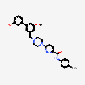 COc1ccc(NC(=O)c2ccc(N3CCN(Cc4cc(OC(F)(F)F)cc(-c5cccc(O)c5)c4)CC3)nn2)cc1